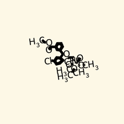 CCOC(=O)c1cccc(C(OCCN(C(=O)OC)C(=O)OC(C)(C)C)c2cc(Cl)ccc2C)c1